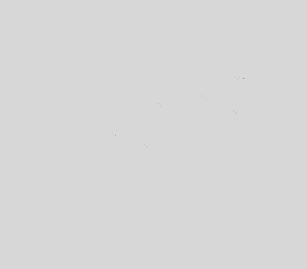 CSc1nccc(-c2ncc(NC(=O)C3CC3)nc2-c2ccco2)n1